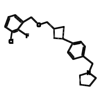 Fc1c(Cl)cccc1COCC1CC(c2ccc(CN3CCCC3)cc2)C1